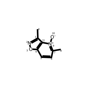 Cc1noc2ccc(C)[n+]([O-])c12